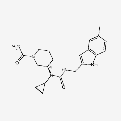 Cc1ccc2[nH]c(CNC(=O)N(C3CC3)[C@@H]3CCCN(C(N)=O)C3)cc2c1